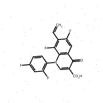 C=Cc1c(F)cc2c(=O)c(C(=O)O)cn(-c3ccc(F)cc3F)c2c1F